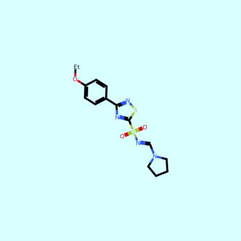 CCOc1ccc(-c2nsc(S(=O)(=O)/N=C/N3CCCC3)n2)cc1